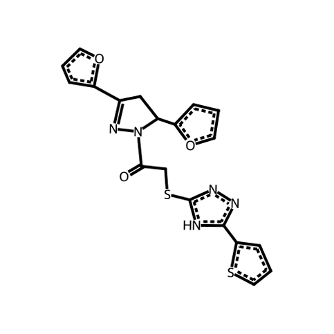 O=C(CSc1nnc(-c2cccs2)[nH]1)N1N=C(c2ccco2)CC1c1ccco1